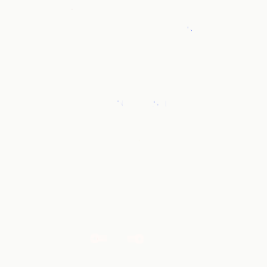 CS(=O)(=O)c1ccc(CSc2nc(-c3ccc(Br)cc3)c(-c3ccncc3)[nH]2)cc1